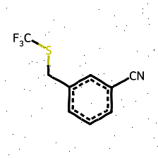 N#Cc1cccc(CSC(F)(F)F)c1